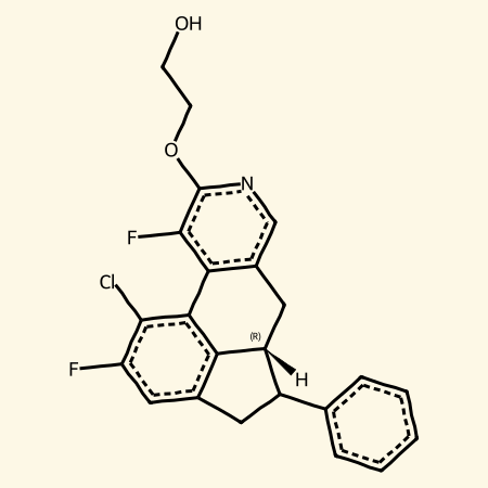 OCCOc1ncc2c(c1F)-c1c(Cl)c(F)cc3c1[C@H](C2)C(c1ccccc1)C3